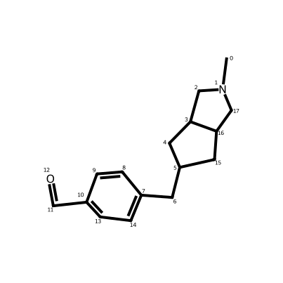 CN1CC2CC(Cc3ccc(C=O)cc3)CC2C1